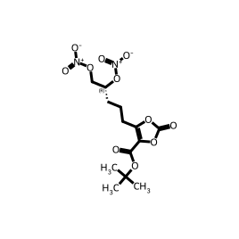 CC(C)(C)OC(=O)c1oc(=O)oc1CCC[C@H](CO[N+](=O)[O-])O[N+](=O)[O-]